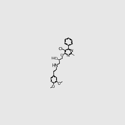 COc1ccc(CCNCC(O)COc2nc(C)nc(-c3ccccc3)c2Cl)cc1OC